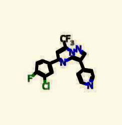 Fc1ccc(-c2cc(C(F)(F)F)n3ncc(-c4ccncc4)c3n2)cc1Cl